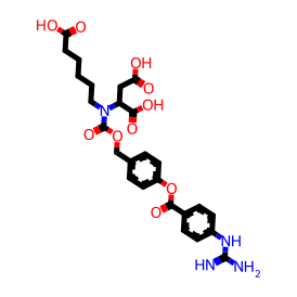 N=C(N)Nc1ccc(C(=O)Oc2ccc(COC(=O)N(CCCCCC(=O)O)C(CC(=O)O)C(=O)O)cc2)cc1